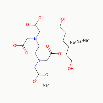 O=C([O-])CN(CCN(CC(=O)[O-])CC(=O)[O-])CC(=O)[O-].OCCCCCCO.[Na+].[Na+].[Na+].[Na+]